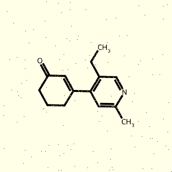 CCc1cnc(C)cc1C1=CC(=O)CCC1